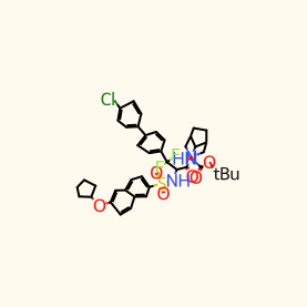 CC(C)(C)OC(=O)NC1C2CCC1CN(C(=O)C(NS(=O)(=O)c1ccc3cc(OC4CCCC4)ccc3c1)C(F)(F)c1ccc(-c3ccc(Cl)cc3)cc1)C2